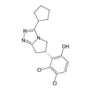 Oc1ccc(Cl)c(Cl)c1[C@@H]1Cc2nnc(C3CCCC3)n2C1